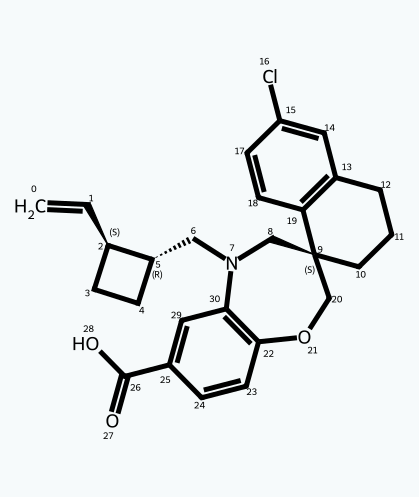 C=C[C@@H]1CC[C@H]1CN1C[C@@]2(CCCc3cc(Cl)ccc32)COc2ccc(C(=O)O)cc21